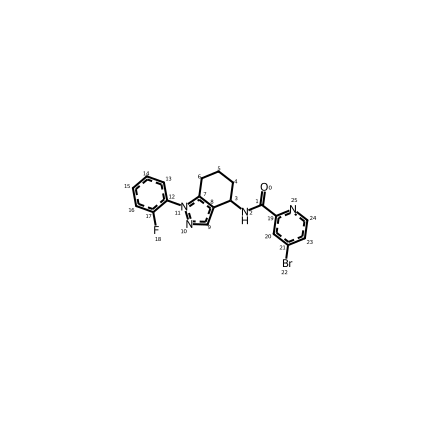 O=C(NC1CCCc2c1cnn2-c1ccccc1F)c1cc(Br)ccn1